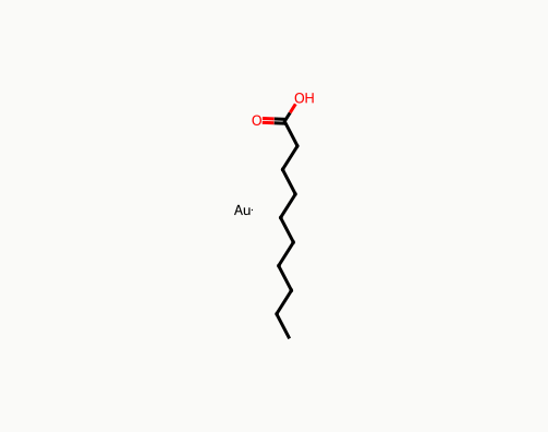 CCCCCCCCCC(=O)O.[Au]